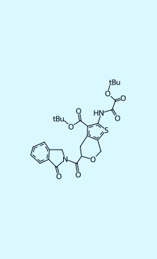 CC(C)(C)OC(=O)C(=O)Nc1sc2c(c1C(=O)OC(C)(C)C)CC(C(=O)N1Cc3ccccc3C1=O)OC2